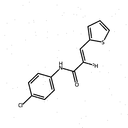 [2H]C(=Cc1cccs1)C(=O)Nc1ccc(Cl)cc1